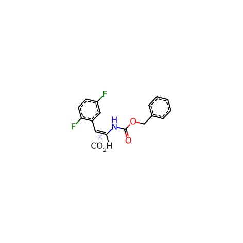 O=C(N/C(=C\c1cc(F)ccc1F)C(=O)O)OCc1ccccc1